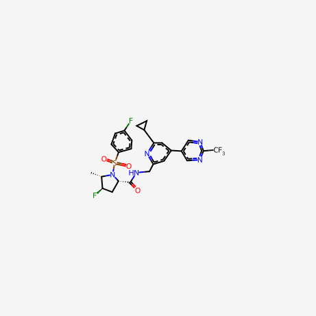 C[C@H]1[C@H](F)C[C@@H](C(=O)NCc2cc(-c3cnc(C(F)(F)F)nc3)cc(C3CC3)n2)N1S(=O)(=O)c1ccc(F)cc1